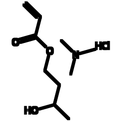 C=CC(=O)OCCC(C)O.CN(C)C.Cl